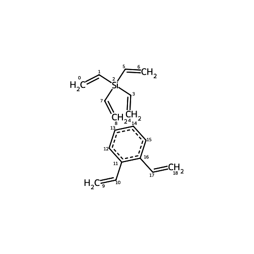 C=C[Si](C=C)(C=C)C=C.C=Cc1ccccc1C=C